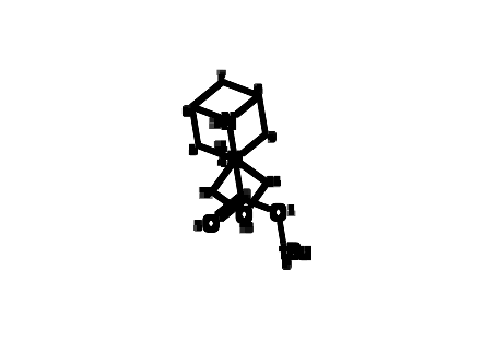 CC(C)(C)OC(=O)N1CC2CC(C1)N2C1COC1